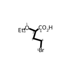 CCOC(CCBr)C(=O)O